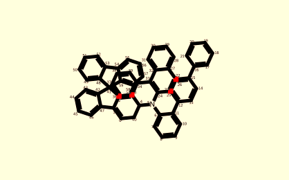 C1=C2C(=CC(N(c3ccccc3-c3ccc(-c4ccccc4)cc3)c3ccc4ccccc4c3-c3ccccc3)C1)C1(c3ccccc32)c2ccccc2-c2ccccc21